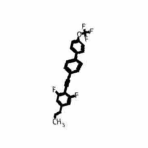 CCCc1cc(F)c(C#Cc2ccc(-c3ccc(OC(F)(F)F)cc3)cc2)c(F)c1